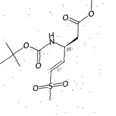 CCOC(=O)C[C@@H](/C=C/S(C)(=O)=O)NC(=O)OC(C)(C)C